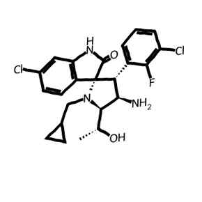 C[C@@H](O)[C@@H]1[C@H](N)[C@@H](c2cccc(Cl)c2F)[C@@]2(C(=O)Nc3cc(Cl)ccc32)N1CC1CC1